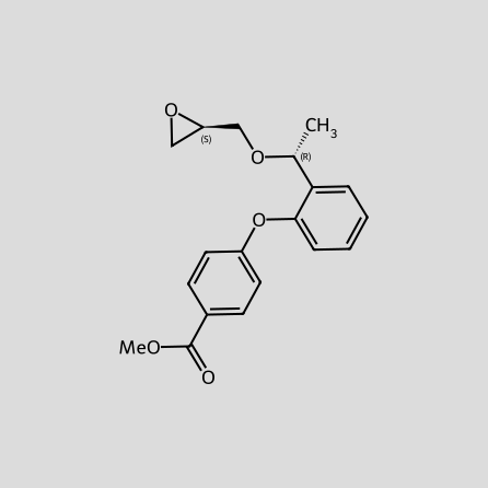 COC(=O)c1ccc(Oc2ccccc2[C@@H](C)OC[C@H]2CO2)cc1